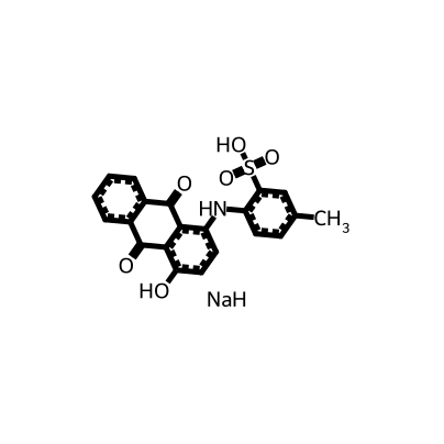 Cc1ccc(Nc2ccc(O)c3c2C(=O)c2ccccc2C3=O)c(S(=O)(=O)O)c1.[NaH]